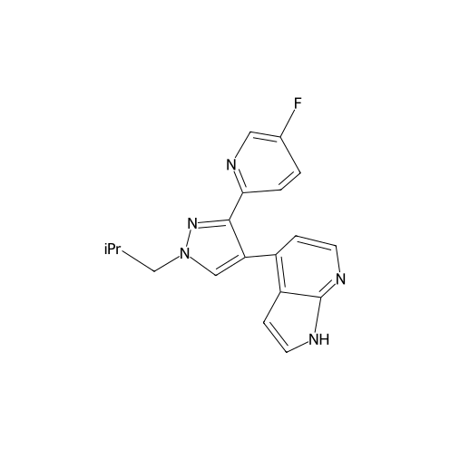 CC(C)Cn1cc(-c2ccnc3[nH]ccc23)c(-c2ccc(F)cn2)n1